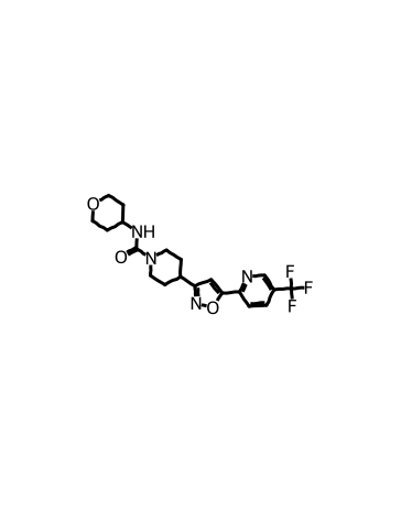 O=C(NC1CCOCC1)N1CCC(c2cc(-c3ccc(C(F)(F)F)cn3)on2)CC1